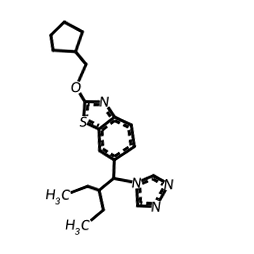 CCC(CC)C(c1ccc2nc(OCC3CCCC3)sc2c1)n1cnnc1